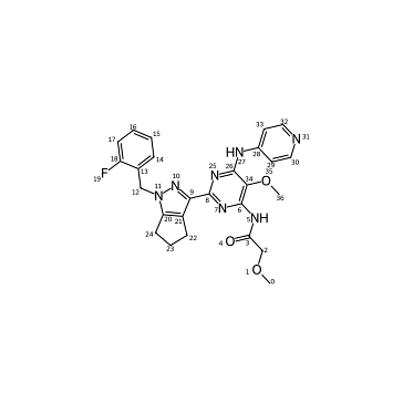 COCC(=O)Nc1nc(-c2nn(Cc3ccccc3F)c3c2CCC3)nc(Nc2ccncc2)c1OC